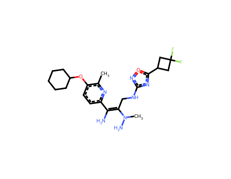 Cc1nc(/C(N)=C(\CNc2noc(C3CC(F)(F)C3)n2)N(C)N)ccc1OC1CCCCC1